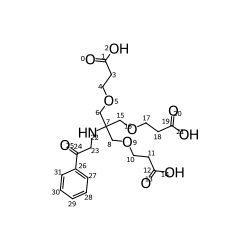 O=C(O)CCOCC(COCCC(=O)O)(COCCC(=O)O)NCC(=O)c1ccccc1